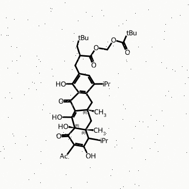 CC(=O)C1=C(O)C(C(C)C)[C@@]2(C)C[C@@]3(C)Cc4c(C(C)C)cc(CC(CC(C)(C)C)C(=O)OCOC(=O)C(C)(C)C)c(O)c4C(=O)C3=C(O)[C@@]2(O)C1=O